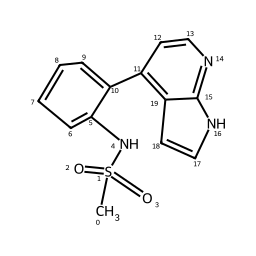 CS(=O)(=O)Nc1ccccc1-c1ccnc2[nH]ccc12